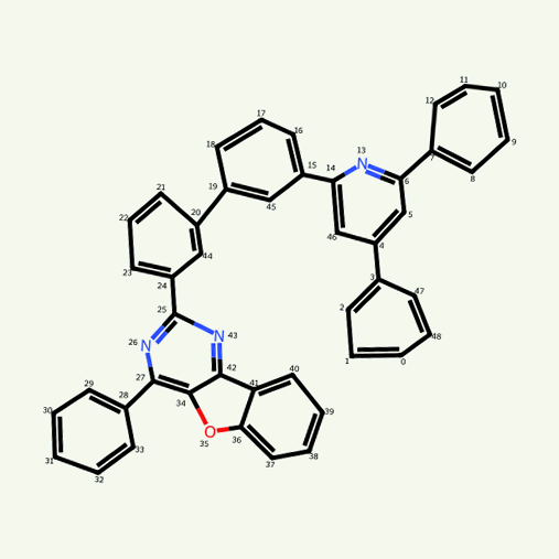 c1ccc(-c2cc(-c3ccccc3)nc(-c3cccc(-c4cccc(-c5nc(-c6ccccc6)c6oc7ccccc7c6n5)c4)c3)c2)cc1